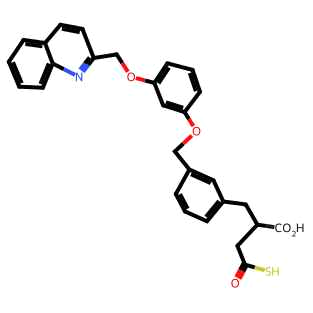 O=C(S)CC(Cc1cccc(COc2cccc(OCc3ccc4ccccc4n3)c2)c1)C(=O)O